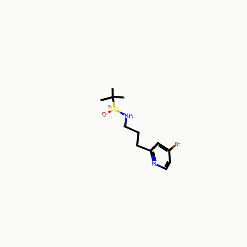 CC(C)(C)[S@+]([O-])NCCCc1cc(Br)ccn1